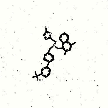 Cc1cc(C)c2ccccc2c1CN(Cc1ccc(-c2cccc(C(C)(C)C(=O)O)c2)cc1)Cc1ccc(C(F)(F)F)o1